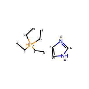 CC[PH](CC)(CC)CC.c1c[nH]cn1